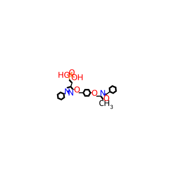 Cc1oc(-c2ccccc2)nc1COc1ccc(COc2nn(-c3ccccc3)cc2C=CP(=O)(O)O)cc1